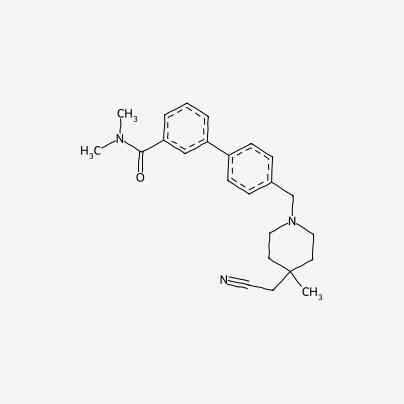 CN(C)C(=O)c1cccc(-c2ccc(CN3CCC(C)(CC#N)CC3)cc2)c1